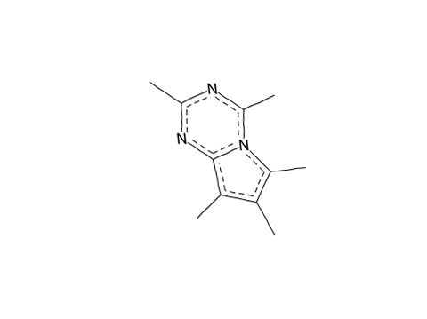 Cc1nc(C)n2c(C)c(C)c(C)c2n1